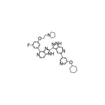 Fc1cc(OCCN2CCCC2)cc(-c2nccc3[nH]c(-c4n[nH]c5cnc(-c6cncc(OC7CCCCC7)c6)cc45)nc23)c1